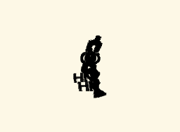 CC1CCN(S(=O)(=O)c2ccc3[nH]c(CNC4CC4)cc3c2)CC1